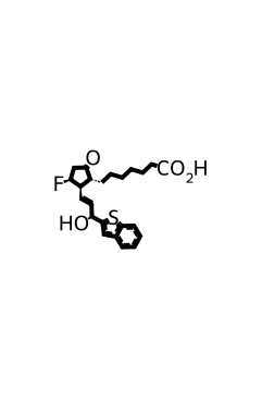 O=C(O)CCCCCC[C@H]1C(=O)C[C@H](F)[C@@H]1/C=C/[C@@H](O)c1cc2ccccc2s1